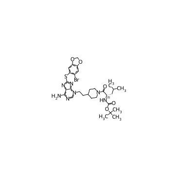 CC(C)C[C@H](NC(=O)OC(C)(C)C)C(=O)N1CCC(CCn2cnc(N)c3nc(Sc4cc5c(cc4Br)OCO5)nc2-3)CC1